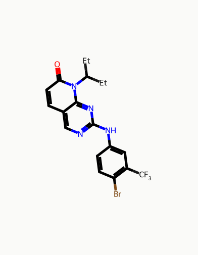 CCC(CC)n1c(=O)ccc2cnc(Nc3ccc(Br)c(C(F)(F)F)c3)nc21